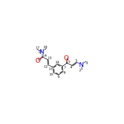 CN(C)C=CC(=O)c1cccc(C=CC(=O)N(C)C)c1